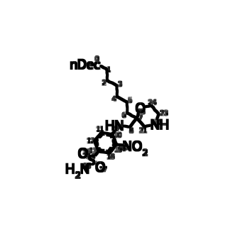 CCCCCCCCCCCCCCCCC1(CNc2ccc(S(N)(=O)=O)cc2[N+](=O)[O-])CNCCO1